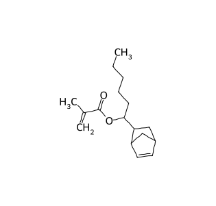 C=C(C)C(=O)OC(CCCCC)C1CC2C=CC1C2